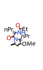 C=C1C=C(OC)[C@H](CCC)N1C(=O)[C@H](CCC)NC(=O)CC